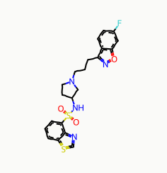 O=S(=O)(NC1CCN(CCCc2noc3cc(F)ccc23)C1)c1cccc2scnc12